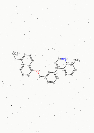 O=C(O)Cc1cccc2c(OCc3cccc(-c4ccnc5c(C(F)(F)F)cccc45)c3)cccc12